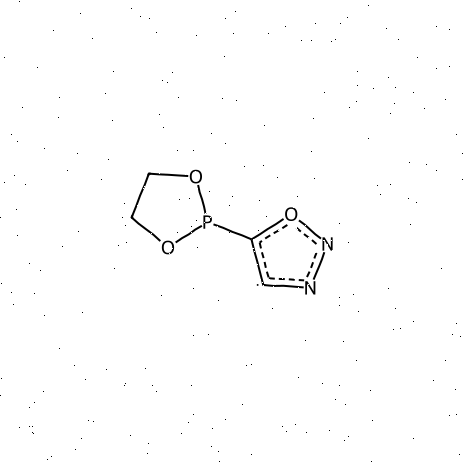 [c]1nnoc1P1OCCO1